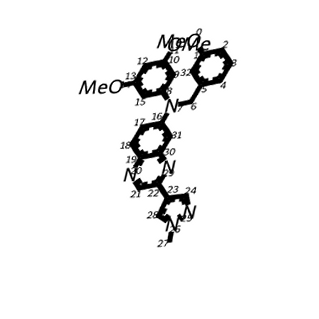 COc1cccc(CN(c2cc(OC)cc(OC)c2)c2ccc3ncc(-c4cnn(C)c4)nc3c2)c1